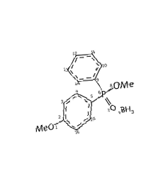 B.COc1ccc(P(=O)(OC)c2ccccc2)cc1